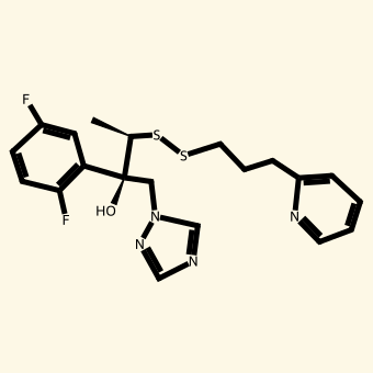 C[C@@H](SSCCCc1ccccn1)[C@](O)(Cn1cncn1)c1cc(F)ccc1F